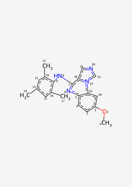 COc1ccc2nc(Nc3c(C)cc(C)cc3C)c3cncn3c2c1